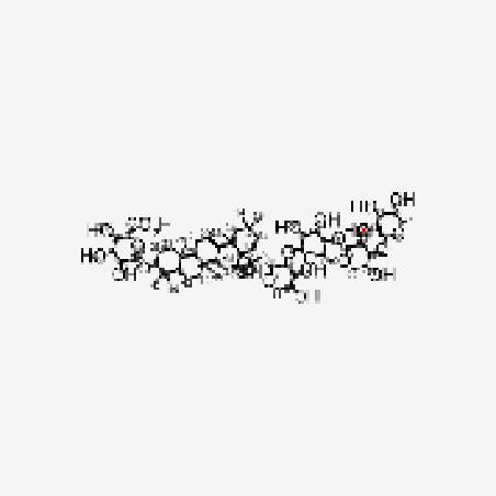 CC1OC(OC2C(OC(=O)[C@]34CCC(C)(C)C[C@@]3(C)C3=CCC5[C@@]6(C)CC[C@H](OC7OC(C(=O)O)C(O)C(O)C7O)C(C)(C)C6CC[C@@]5(C)[C@]3(C)C[C@H]4O)OCC(O)C2O)C(O)C(O)C1OC1OCC(O)C(OC2OCC(O)C(O)C2O)C1O